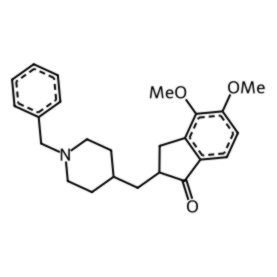 COc1ccc2c(c1OC)CC(CC1CCN(Cc3ccccc3)CC1)C2=O